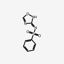 O=S(=O)(N=c1nco[nH]1)c1ccccc1